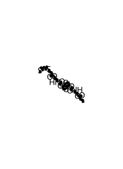 CCCC(=O)OCCNC(=O)O[C@H]1COC2C1OC[C@@H]2OC(=O)NCCOC(=O)CCSC(C)(C)CC(C)(C)SC